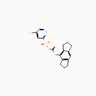 CNc1cnnc(S(=O)(=O)NC(=O)Nc2c3c(cc4c2CCC4)CCC3)c1